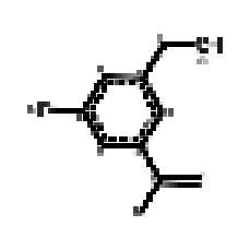 C=C(C)c1cc(F)cc(CO)c1